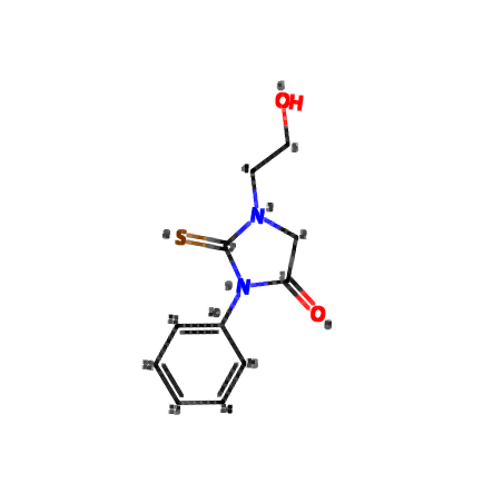 O=C1CN(CCO)C(=S)N1c1ccccc1